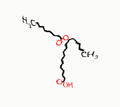 CCCCCCCCC(=O)OC(CCCCCC)CCCCCCCCCCC(=O)O